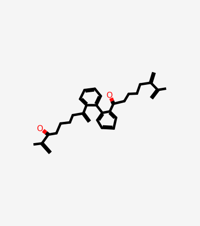 C=C(C)C(=C)CCCCC(=O)c1ccccc1-c1ccccc1C(=C)CCCCC(=O)C(=C)C